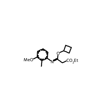 CCOC(=O)C/C(=N/c1cccc(OC)c1C)OC1CCC1